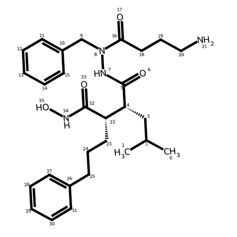 CC(C)C[C@@H](C(=O)NN(Cc1ccccc1)C(=O)CCCN)[C@H](CCCc1ccccc1)C(=O)NO